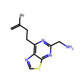 C=C(CCc1nc(CN)nc2scnc12)C(C)C